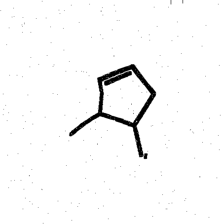 [CH]C1CC=CC1C